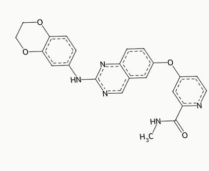 CNC(=O)c1cc(Oc2ccc3nc(Nc4ccc5c(c4)OCCO5)ncc3c2)ccn1